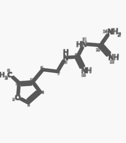 Cc1occc1CCNC(=N)NC(=N)N